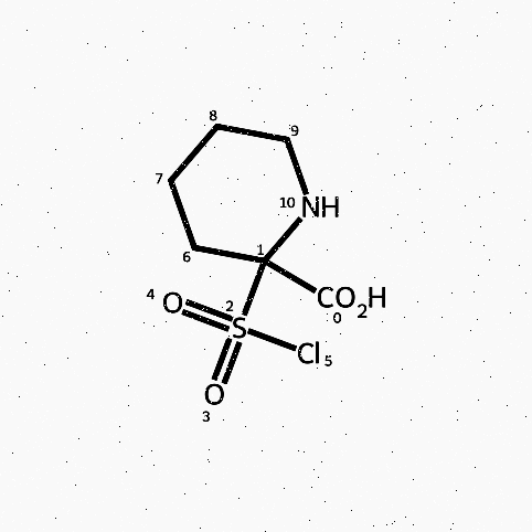 O=C(O)C1(S(=O)(=O)Cl)CCCCN1